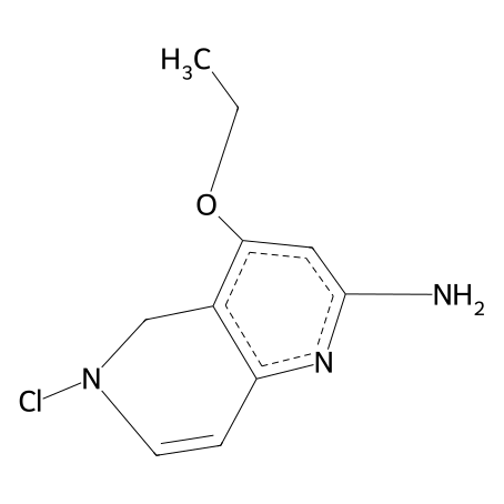 CCOc1cc(N)nc2c1CN(Cl)C=C2